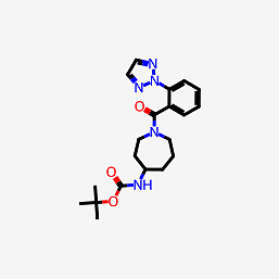 CC(C)(C)OC(=O)NC1CCCN(C(=O)c2ccccc2-n2nccn2)CC1